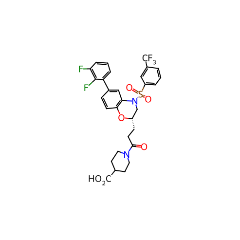 O=C(O)C1CCN(C(=O)CC[C@H]2CN(S(=O)(=O)c3cccc(C(F)(F)F)c3)c3cc(-c4cccc(F)c4F)ccc3O2)CC1